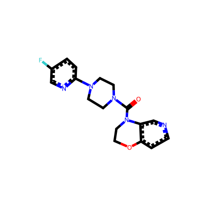 O=C(N1CCN(c2ccc(F)cn2)CC1)N1CCOc2ccncc21